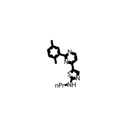 CCCNc1ncc(-c2ccnc(-c3cc(C)ccc3C)n2)s1